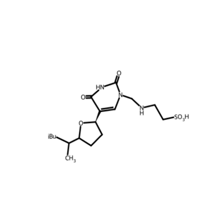 CCC(C)C(C)C1CC[C@H](c2cn(CNCCS(=O)(=O)O)c(=O)[nH]c2=O)O1